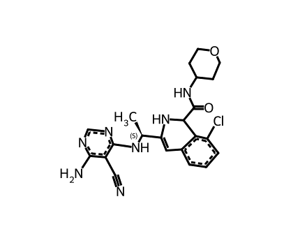 C[C@H](Nc1ncnc(N)c1C#N)C1=Cc2cccc(Cl)c2C(C(=O)NC2CCOCC2)N1